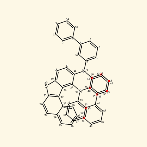 c1ccc(-c2cccc(N(c3ccccc3)c3ccc4sc5ccc6ccccc6c5c4c3N(c3ccccc3)c3ccccc3-c3ccccc3)c2)cc1